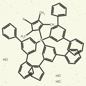 CC1=[C]([Ti])C(C)C([Si](c2cc(-c3ccccc3)cc(-c3ccccc3)c2)(c2cc(-c3ccccc3)cc(-c3ccccc3)c2)c2cc(-c3ccccc3)cc(-c3ccccc3)c2)=C1C.Cl.Cl.Cl